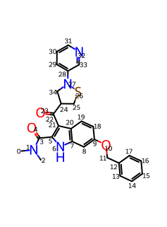 CN(C)C(=O)c1[nH]c2cc(OCc3ccccc3)ccc2c1C(=O)C1CSN(c2cccnc2)C1